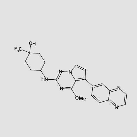 COc1nc(NC2CCC(O)(C(F)(F)F)CC2)nn2ccc(-c3ccc4nccnc4c3)c12